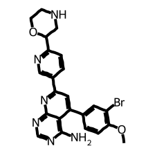 COc1ccc(-c2cc(-c3ccc(C4CNCCO4)nc3)nc3ncnc(N)c23)cc1Br